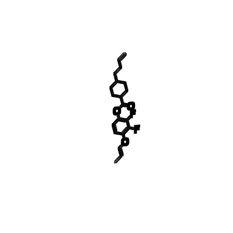 C=CCCC1CCC(C(=O)Oc2ccc(O/C=C/C)c(F)c2F)CC1